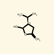 C=C1C[C@H](C(C)C)C(O)O1